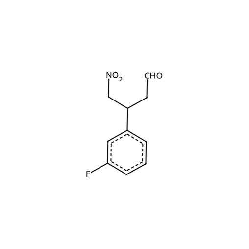 O=CCC(C[N+](=O)[O-])c1cccc(F)c1